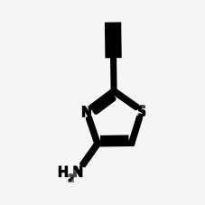 C#Cc1nc(N)cs1